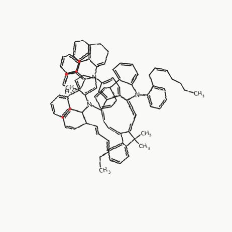 C/C=C\C(C1=CCCC=C1)=C(/CC)N(C1=CCCC=C1c1ccccc1)c1ccc2c(N(c3ccccc3C/C=C\CCCC)c3ccccc3C3C=CC=CC3)ccc3c(ccc(N(C4=CCCC=C4c4ccccc4)C4C=CC=CC4C=C/C=C\CC)c2c1)-c1ccccc1C3(C)C